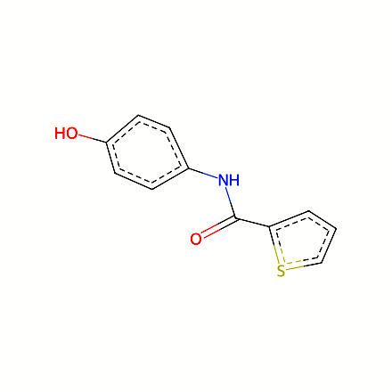 O=C(Nc1ccc(O)cc1)c1cccs1